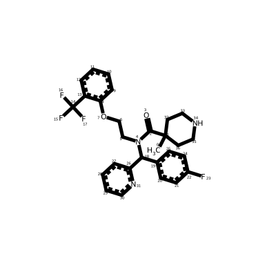 CC1(C(=O)N(CCOc2ccccc2C(F)(F)F)C(c2ccc(F)cc2)c2ccccn2)CCNCC1